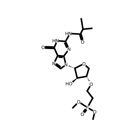 COP(=O)(CCO[C@H]1CO[C@@H](n2cnc3c(=O)[nH]c(NC(=O)C(C)C)nc32)[C@@H]1O)OC